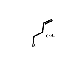 C=CCCCC.[CaH2]